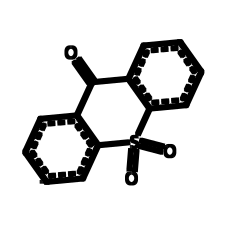 O=C1c2cc[c]cc2S(=O)(=O)c2ccccc21